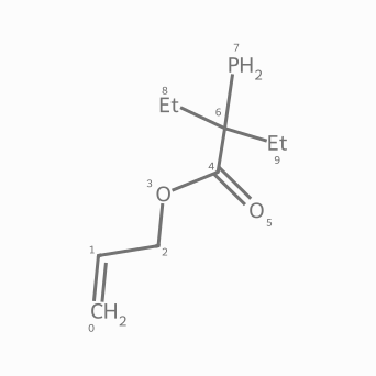 C=CCOC(=O)C(P)(CC)CC